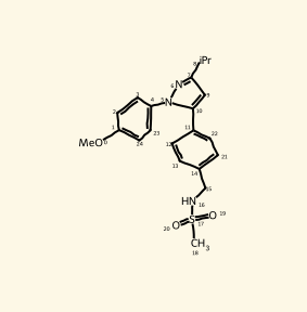 COc1ccc(-n2nc(C(C)C)cc2-c2ccc(CNS(C)(=O)=O)cc2)cc1